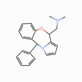 CN(C)CC1Oc2ccccc2C(c2ccccc2)n2cccc21